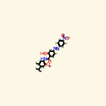 COc1cc(C(C)C)c(C)cc1NC(=O)c1ccc(/N=N/c2ccc([N+](=O)[O-])cc2)cc1O